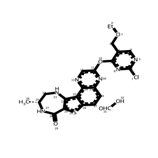 CCOCc1cnc(Cl)nc1Oc1cnc2c(ccc3sc4c(c32)NC[C@@H](C)NC4=O)n1.O=CO